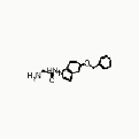 NCC(=O)Nn1ccc2cc(OCc3ccccc3)ccc21